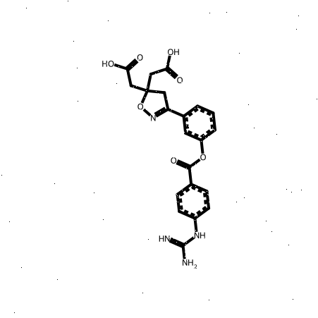 N=C(N)Nc1ccc(C(=O)Oc2cccc(C3=NOC(CC(=O)O)(CC(=O)O)C3)c2)cc1